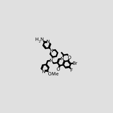 COc1cc(CN(Cc2cn3c4c(c(Br)c(F)cc4c2=O)OCC3C)[C@H]2CCCN(c3ccc(N)nc3)C2)ccn1